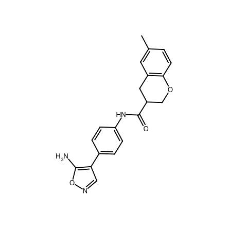 Cc1ccc2c(c1)CC(C(=O)Nc1ccc(-c3cnoc3N)cc1)CO2